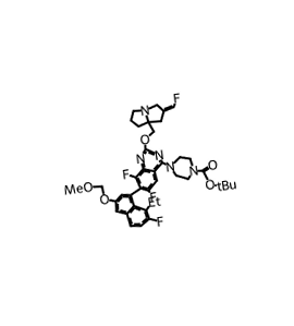 CCc1c(F)ccc2cc(OCOC)cc(-c3c(F)cc4c(N5CCN(C(=O)OC(C)(C)C)CC5)nc(OCC56CCCN5C/C(=C\F)C6)nc4c3F)c12